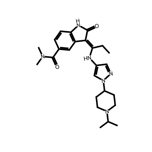 CCC(Nc1cnn(C2CCN(C(C)C)CC2)c1)=C1C(=O)Nc2ccc(C(=O)N(C)C)cc21